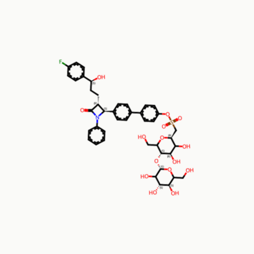 O=C1[C@H](CC[C@H](O)c2ccc(F)cc2)[C@@H](c2ccc(-c3ccc(OS(=O)(=O)C[C@@H]4OC(CO)[C@@H](O[C@@H]5OC(CO)[C@@H](O)[C@H](O)C5O)[C@H](O)C4O)cc3)cc2)N1c1ccccc1